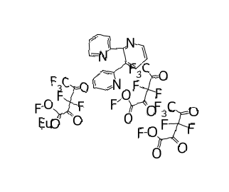 O=C(OF)C(=O)C(F)(F)C(=O)C(F)(F)F.O=C(OF)C(=O)C(F)(F)C(=O)C(F)(F)F.O=C(OF)C(=O)C(F)(F)C(=O)C(F)(F)F.[Eu].c1ccc(-c2cccnc2-c2ccccn2)nc1